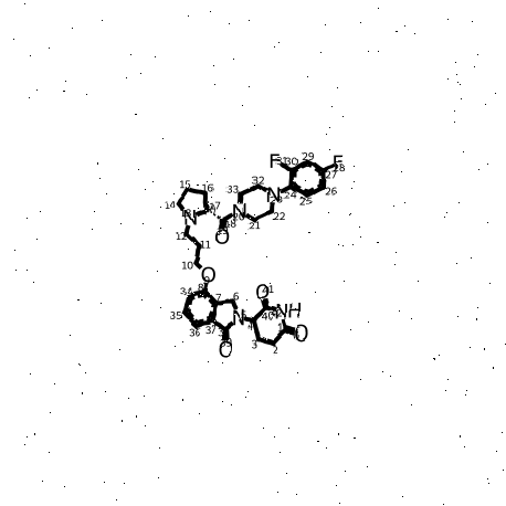 O=C1CCC(N2Cc3c(OCCCN4CCC[C@@H]4C(=O)N4CCN(c5ccc(F)cc5F)CC4)cccc3C2=O)C(=O)N1